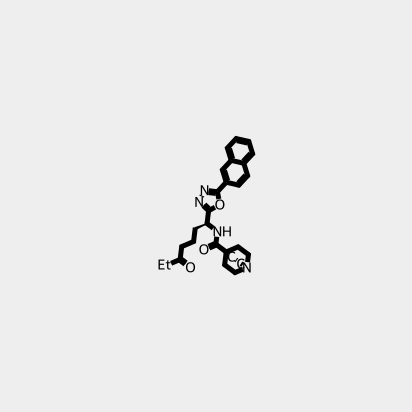 CCC(=O)CCC[C@H](NC(=O)C12CCN(CC1)CC2)c1nnc(-c2ccc3ccccc3c2)o1